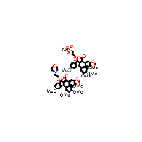 COc1ccc(C2(OCCCS(=O)(=O)[O-])OC(=O)C(c3ccc4c(c3)OCO4)=C2Cc2cc(OC)c(OC)c(OC)c2)cc1.COc1ccc(C2(OCCN3CCOCC3)OC(=O)C(c3ccc4c(c3)OCO4)=C2Cc2cc(OC)c(OC)c(OC)c2)cc1.[Na+]